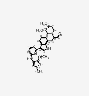 COc1nn(C)cc1Nc1nccc(-c2c[nH]c3c(CC(C=O)N4CCN(C)[C@@H](C)C4)cccc23)n1